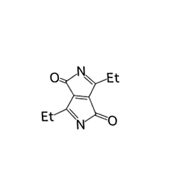 CCc1nc(=O)c2c(CC)nc(=O)c1=2